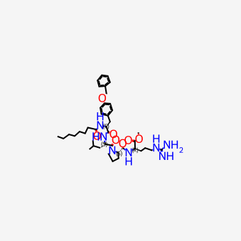 CCCCCCCC(=O)N[C@@H](Cc1ccc(OCc2ccccc2)cc1)C(=O)N[C@@H](CC(C)C)C(=O)N1CCC[C@H]1C(=O)N[C@H](CCCNC(=N)N)C(=O)OC